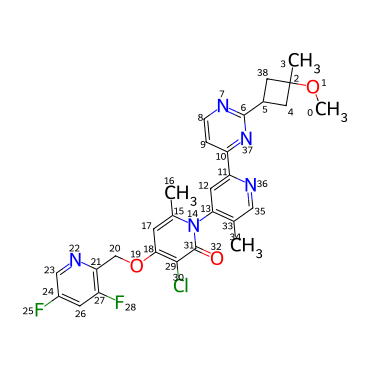 COC1(C)CC(c2nccc(-c3cc(-n4c(C)cc(OCc5ncc(F)cc5F)c(Cl)c4=O)c(C)cn3)n2)C1